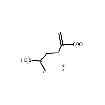 C=C(CCC(C)S(=O)(=O)O)C(=O)[O-].[K+]